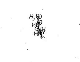 CC(=O)CCCC(=O)NCC(=O)NCC(=O)NCC=O